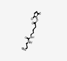 CC(C)(C)CCNC(=O)NCCCCC(=O)ON1C(=O)C=CC1=O